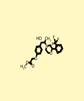 COC(=O)COc1ccc(CC(C)N2CCOC(c3ccccc3C(F)(F)F)C2)cc1.Cl